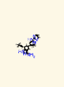 CC(C)(C)C#Cc1cc(-c2ccnc(Nc3ncccn3)c2)cc2c(N)n[nH]c12